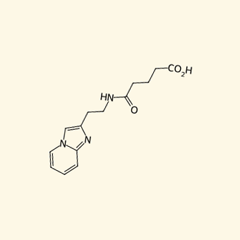 O=C(O)CCCC(=O)NCCc1cn2ccccc2n1